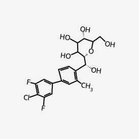 Cc1cc(-c2cc(F)c(Cl)c(F)c2)ccc1[C@@H](O)[C@H]1OC(CO)[C@@H](O)C(O)C1O